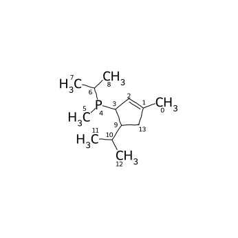 CC1=CC(P(C)C(C)C)C(C(C)C)C1